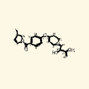 CC1CCN(C(=O)c2ccc(OC3CCN(CC(O)C(C)O)CC3)cc2)C1